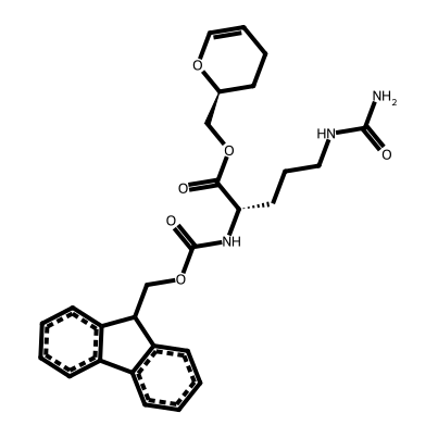 NC(=O)NCCC[C@H](NC(=O)OCC1c2ccccc2-c2ccccc21)C(=O)OC[C@@H]1CCC=CO1